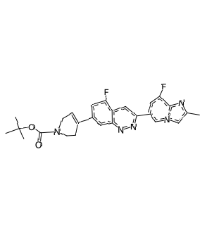 Cc1cn2cc(-c3cc4c(F)cc(C5=CCN(C(=O)OC(C)(C)C)CC5)cc4nn3)cc(F)c2n1